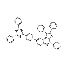 c1ccc(-c2nc(-c3ccccc3)nc(-c3ccc(-c4ccc5nc(-c6ccccc6)c6sc(-c7ccccc7)c(-c7ccccc7)c6c5c4)cc3)n2)cc1